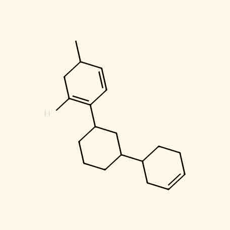 CC1C=CC(C2CCCC(C3CC=CCC3)C2)=C(S)C1